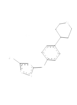 CCCc1nnc(Oc2ccc(C3CCNCC3)cc2)s1.Cl